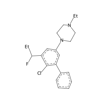 CCC(F)c1cc(N2CCN(CC)CC2)cc(-c2ccccc2)c1Cl